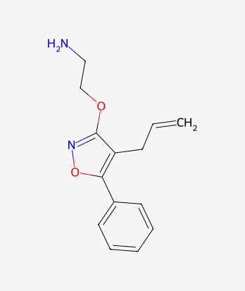 C=CCc1c(OCCN)noc1-c1ccccc1